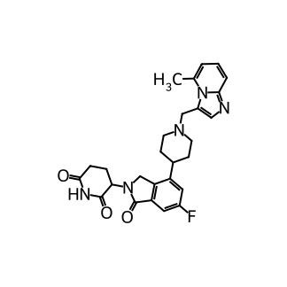 Cc1cccc2ncc(CN3CCC(c4cc(F)cc5c4CN(C4CCC(=O)NC4=O)C5=O)CC3)n12